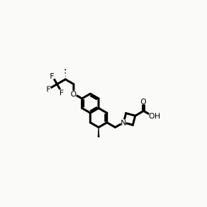 C[C@H](COc1ccc2c(c1)C[C@H](C)C(CN1CC(C(=O)O)C1)=C2)C(F)(F)F